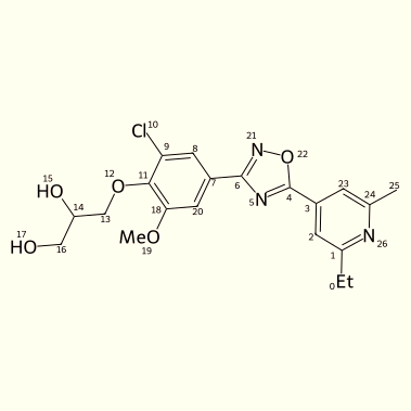 CCc1cc(-c2nc(-c3cc(Cl)c(OCC(O)CO)c(OC)c3)no2)cc(C)n1